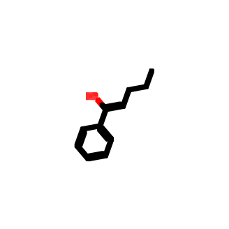 CCCC=C(O)c1ccccc1